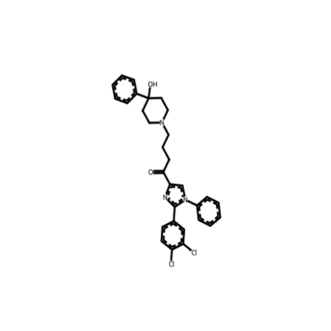 O=C(CCCN1CCC(O)(c2ccccc2)CC1)c1cn(-c2ccccc2)c(-c2ccc(Cl)c(Cl)c2)n1